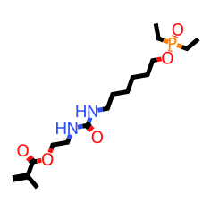 C=C(C)C(=O)OCCNC(=O)NCCCCCCOP(=O)(CC)CC